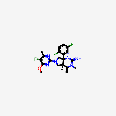 C=C1[C@@H]2CN(c3nc(C)c(F)c(OC)n3)C[C@]2(c2cc(F)ccc2F)NC(=N)N1C